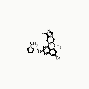 C[C@@H]1Cn2cnc(F)c2CN1c1nc(OC[C@@H]2CCCN2C)nc2cc(Br)ccc12